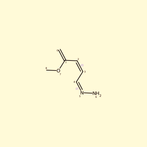 C=C(/C=C\C=N/N)OC